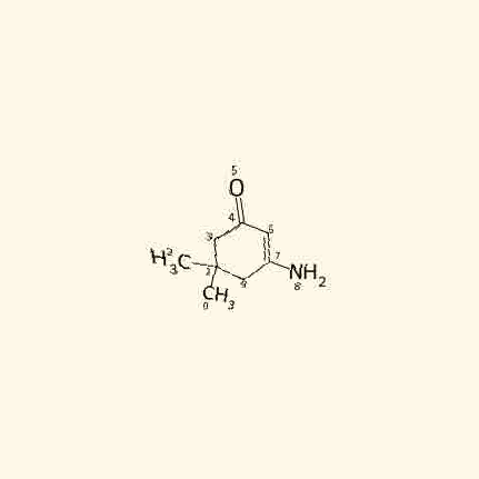 CC1(C)CC(=O)C=C(N)C1